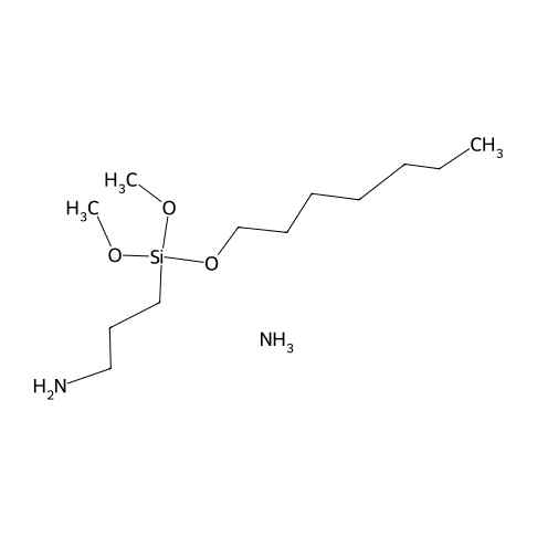 CCCCCCCO[Si](CCCN)(OC)OC.N